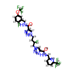 O=C(NCc1cc(OC(F)(F)F)ccc1F)c1cn(CCC(F)Cn2cc(C(=O)NCc3cccc(C(F)(F)F)n3)nn2)nn1